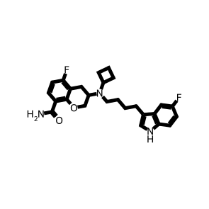 NC(=O)c1ccc(F)c2c1OCC(N(CCCCc1c[nH]c3ccc(F)cc13)C1CCC1)C2